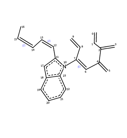 C=CC(=C)C(=C)/C=C(\C=C)n1c(/C=C\C=C/C)cc2ccccc21